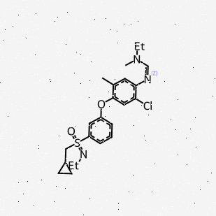 CCN=S(=O)(CC1CC1)c1cccc(Oc2cc(Cl)c(/N=C\N(C)CC)cc2C)c1